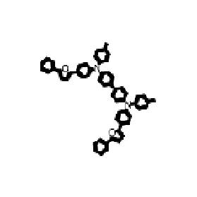 Cc1ccc(N(c2ccc(-c3ccc(N(c4ccc(C)cc4)c4ccc(-c5ccc(-c6ccccc6)o5)cc4)cc3)cc2)c2ccc(-c3ccc(-c4ccccc4)o3)cc2)cc1